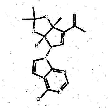 C=C(C)C1=C[C@@H](n2ccc3c(Cl)ncnc32)[C@@H]2OC(C)(C)O[C@]12C